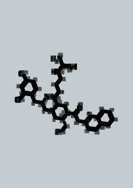 CC(C)C[C@@H]1CN(C[C@@H](N)Cc2ccc(Cl)cc2Cl)[C@@H](CCCCNC(=N)N)CN1C(=O)Cc1ccc2ccccc2c1